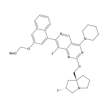 COCOc1cc(-c2ncc3c(N4CCCCC4)nc(OC[C@@]45CCCN4C[C@H](F)C5)nc3c2F)c2ccccc2c1